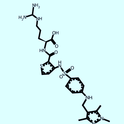 Cc1nn(C)c(C)c1CNc1ccc(S(=O)(=O)Nc2ccsc2C(=O)N[C@@H](CCCNC(N)N)C(=O)O)cc1